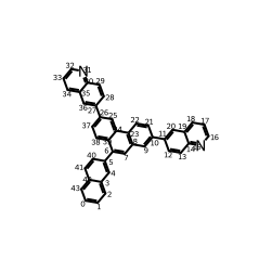 c1ccc2cc(-c3cc4cc(-c5ccc6ncccc6c5)ccc4c4cc(-c5ccc6ncccc6c5)ccc34)ccc2c1